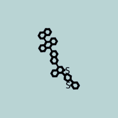 c1ccc2c(-c3c4ccccc4c(-c4ccc5cc(-c6cc7sc8cc9c(cc8c7c7ccccc67)sc6ccccc69)ccc5c4)c4ccccc34)cccc2c1